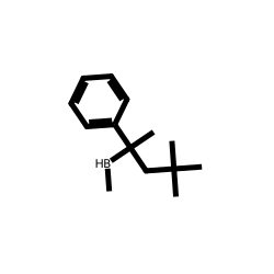 CBC(C)(CC(C)(C)C)c1ccccc1